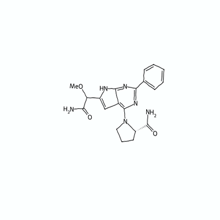 COC(C(N)=O)c1cc2c(N3CCC[C@H]3C(N)=O)nc(-c3ccccc3)nc2[nH]1